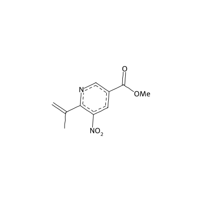 C=C(C)c1ncc(C(=O)OC)cc1[N+](=O)[O-]